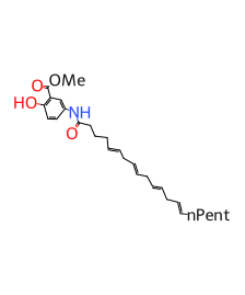 CCCCCC=CCC=CCC=CCC=CCCCC(=O)Nc1ccc(O)c(C(=O)OC)c1